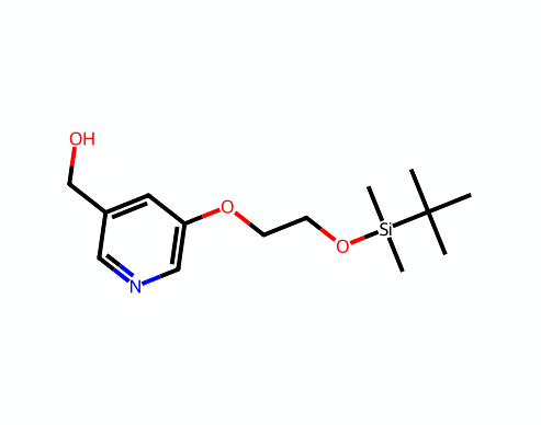 CC(C)(C)[Si](C)(C)OCCOc1cncc(CO)c1